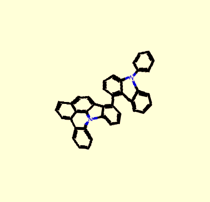 c1ccc(-n2c3ccccc3c3c(-c4cccc5c4c4ccc6cccc7c8ccccc8n5c4c67)cccc32)cc1